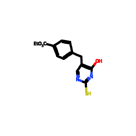 CCOC(=O)c1ccc(Cc2cnc(S)nc2O)cc1